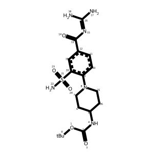 CC(C)(C)OC(=O)NC1CCN(c2ccc(C(=O)N=C(N)N)cc2S(N)(=O)=O)CC1